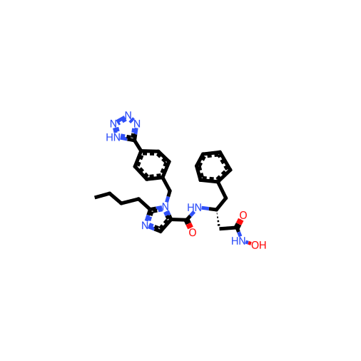 CCCCc1ncc(C(=O)N[C@@H](CC(=O)NO)Cc2ccccc2)n1Cc1ccc(-c2nnn[nH]2)cc1